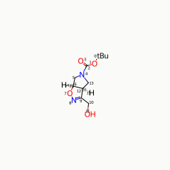 CC(C)(C)OC(=O)N1C[C@@H]2ON=C(CO)[C@@H]2C1